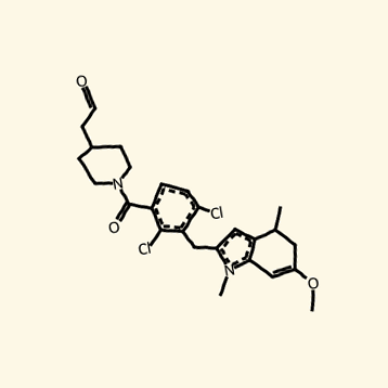 COC1=Cc2c(cc(Cc3c(Cl)ccc(C(=O)N4CCC(CC=O)CC4)c3Cl)n2C)C(C)C1